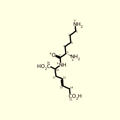 NCCCC[C@H](N)C(=O)NC(C/C=C/CC(=O)O)C(=O)O